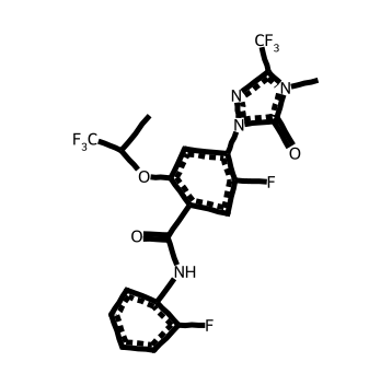 CC(Oc1cc(-n2nc(C(F)(F)F)n(C)c2=O)c(F)cc1C(=O)Nc1ccccc1F)C(F)(F)F